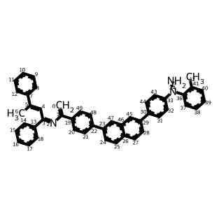 C=C(/N=C(\C=C(/C)c1ccccc1)c1ccccc1)c1ccc(-c2ccc3ccc(-c4ccc(N(N)c5ccccc5C)cc4)cc3c2)cc1